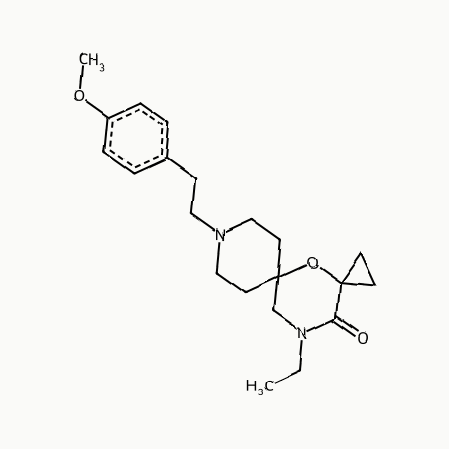 CCN1CC2(CCN(CCc3ccc(OC)cc3)CC2)OC2(CC2)C1=O